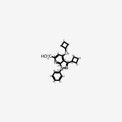 O=C(O)c1cc(OC2CCC2)c2c(C3CCC3)nn(-c3ccccc3)c2n1